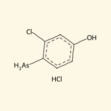 Cl.Oc1ccc([AsH2])c(Cl)c1